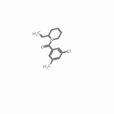 CCC1CCCCN1C(=O)c1cc(C)cc(Cl)c1